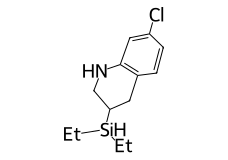 CC[SiH](CC)C1CNc2cc(Cl)ccc2C1